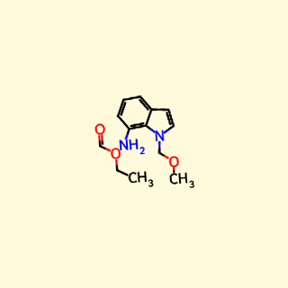 CCOC=O.COCn1ccc2cccc(N)c21